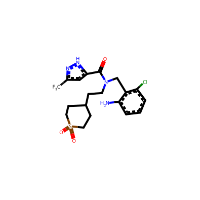 Nc1cccc(Cl)c1CN(CCC1CCS(=O)(=O)CC1)C(=O)c1cc(C(F)(F)F)n[nH]1